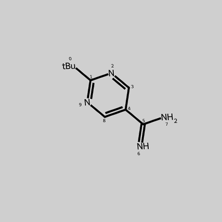 CC(C)(C)c1ncc(C(=N)N)cn1